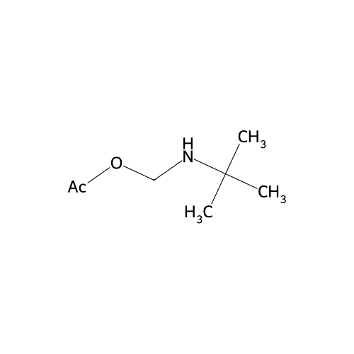 CC(=O)OCNC(C)(C)C